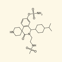 CC(C)C1CCC(C2c3cc(OS(N)(=O)=O)ccc3C3(CCNCC3)C(=O)N2CCNS(C)(=O)=O)CC1